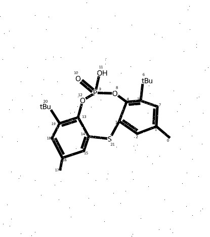 Cc1cc2c(c(C(C)(C)C)c1)OP(=O)(O)Oc1c(cc(C)cc1C(C)(C)C)S2